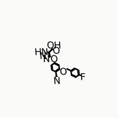 N#Cc1ccc(Oc2nn[nH]c2C(=O)O)cc1OCc1ccc(F)cc1